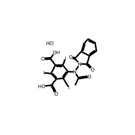 CC(=O)N(c1c(I)c(C(=O)O)c(I)c(C(=O)O)c1I)N1C(=O)c2ccccc2C1=O.Cl